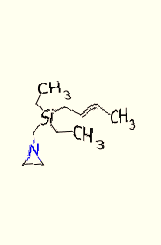 CC=CC[Si](CC)(CC)CN1CC1